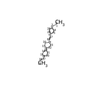 CCCc1ccc(C#CC2CCC(C3CCC(CCC)CC3)CC2)cc1